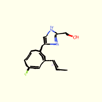 C/C=C/c1cc(F)ccc1-c1c[nH]c(CO)n1